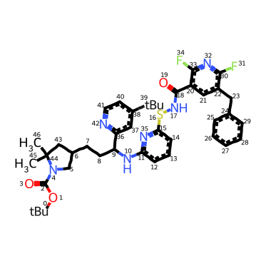 CC(C)(C)OC(=O)N1CC(CCC(Nc2cccc(SNC(=O)c3cc(Cc4ccccc4)c(F)nc3F)n2)c2cc(C(C)(C)C)ccn2)CC1(C)C